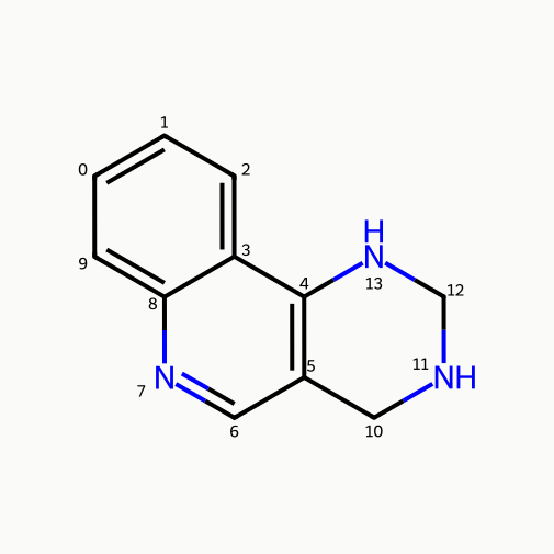 c1ccc2c3c(cnc2c1)CNCN3